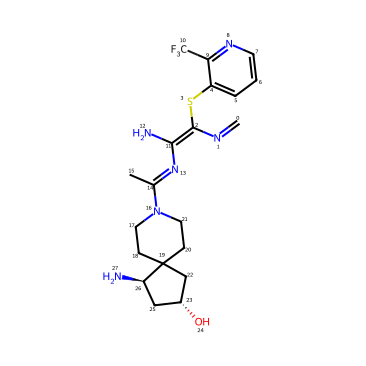 C=N/C(Sc1cccnc1C(F)(F)F)=C(N)\N=C(/C)N1CCC2(CC1)C[C@H](O)C[C@H]2N